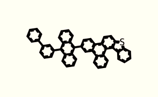 c1ccc(-c2cccc(-c3c4ccccc4c(-c4ccc5c(c4)c4ccccc4c4c5ccc5sc6ccccc6c54)c4ccccc34)c2)cc1